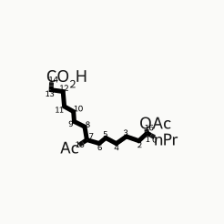 CCCC(CCCCCC(CCCCCCC(=O)O)C(C)=O)OC(C)=O